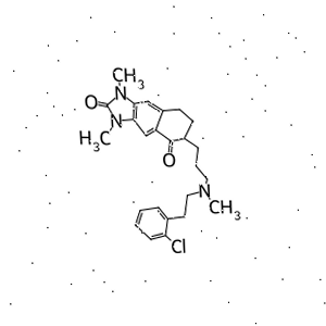 CN(CCCC1CCc2cc3c(cc2C1=O)n(C)c(=O)n3C)CCc1ccccc1Cl